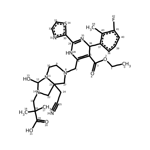 CCOC(=O)C1=C(CN2CCN3C(O)N(CC(C)(C)C(=O)O)CC3(CC#N)C2)NC(c2nccs2)=NC1c1cccc(F)c1C